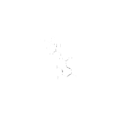 O=C(COC(=O)c1cc(I)cc(I)c1I)NS(=O)(=O)C(F)(F)F